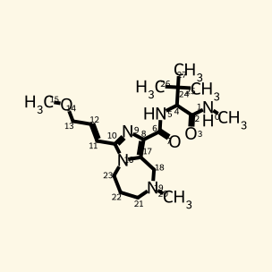 CNC(=O)C(NC(=O)c1nc(C=CCOC)n2c1CN(C)CCC2)C(C)(C)C